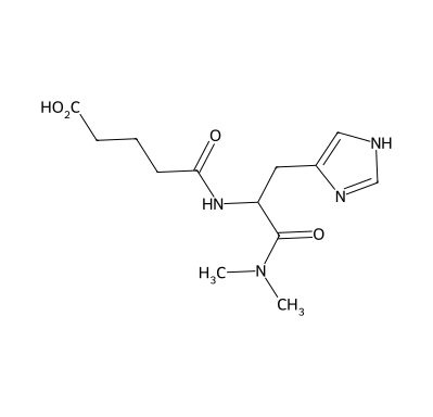 CN(C)C(=O)C(Cc1c[nH]cn1)NC(=O)CCCC(=O)O